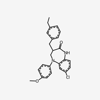 CCc1cccc(CC2CN(c3ccc(OC)cc3)c3cc(Cl)ccc3NC2=O)c1